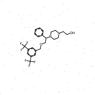 OCCN1CCN(C(COCc2cc(C(F)(F)F)cc(C(F)(F)F)c2)c2ccccc2)CC1